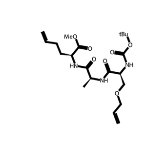 C=CCC[C@H](NC(=O)[C@H](C)NC(=O)[C@H](COCC=C)NC(=O)OC(C)(C)C)C(=O)OC